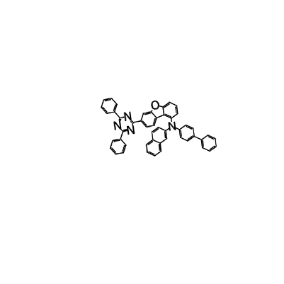 c1ccc(-c2ccc(N(c3ccc4ccccc4c3)c3cccc4oc5cc(-c6nc(-c7ccccc7)nc(-c7ccccc7)n6)ccc5c34)cc2)cc1